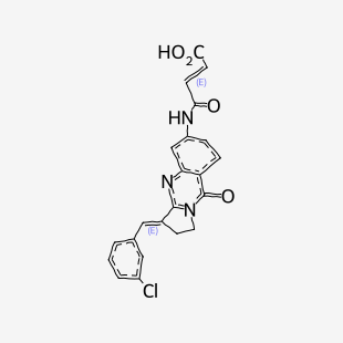 O=C(O)/C=C/C(=O)Nc1ccc2c(=O)n3c(nc2c1)/C(=C/c1cccc(Cl)c1)CC3